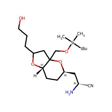 CC(C)(C)[Si](C)(C)OCC12CC(CCCO)O[C@H]1CC[C@H](C[C@@H](N)C#N)O2